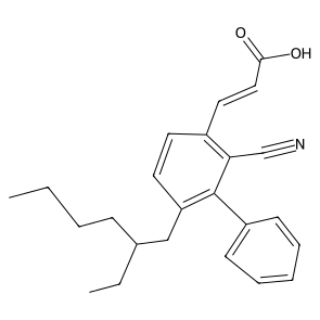 CCCCC(CC)Cc1ccc(C=CC(=O)O)c(C#N)c1-c1ccccc1